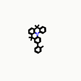 Cc1ccccc1-c1ccc2c(c1)C(C)(C)c1cccc3c1N2c1ccccc1C3(C)C